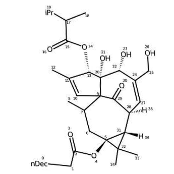 CCCCCCCCCCCC(=O)O[C@@]12CC(C)C34C=C(C)[C@H](OC(=O)C(C)C(C)C)[C@@]3(O)[C@H](O)C(CO)=C[C@H](C4=O)[C@@H]1C2(C)C